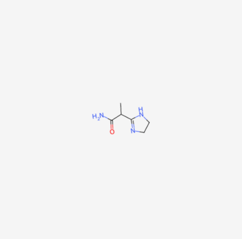 CC(C(N)=O)C1=NCCN1